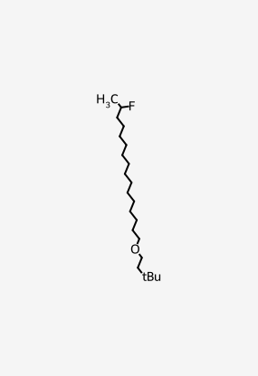 CC(F)CCCCCCCCCCCCCCOCCC(C)(C)C